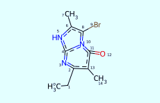 CCc1nc2[nH]c(C)c(Br)n2c(=O)c1C